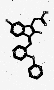 CC1=C(CC(=O)O)c2cc(F)ccc2/C1=C\c1ccccc1Oc1ccccc1